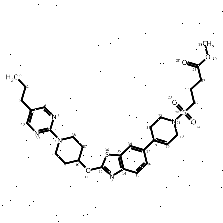 CCCc1cnc(N2CCC(Oc3nc4ccc(C5=CCN(S(=O)(=O)CCCC(=O)OC)CC5)cc4s3)CC2)nc1